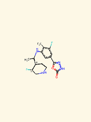 CC(Nc1cc(-c2n[nH]c(=O)o2)cc(F)c1C(F)(F)F)[C@H]1CCNC[C@H]1F